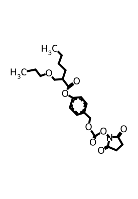 CCCCC(COCCC)C(=O)Oc1ccc(COC(=O)ON2C(=O)CCC2=O)cc1